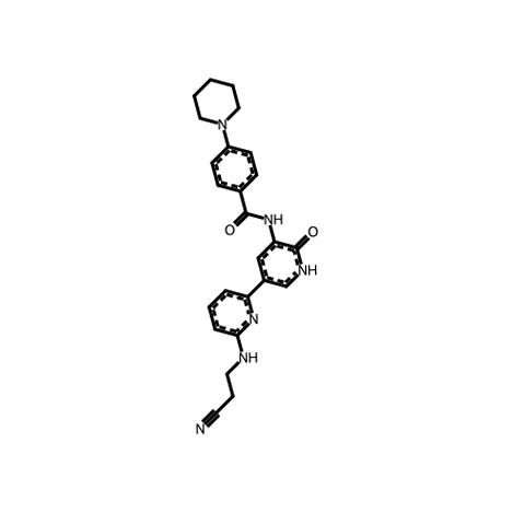 N#CCCNc1cccc(-c2c[nH]c(=O)c(NC(=O)c3ccc(N4CCCCC4)cc3)c2)n1